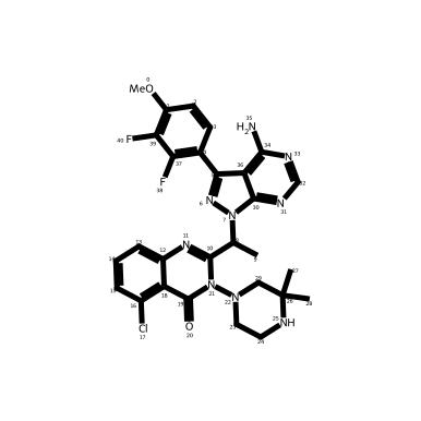 COc1ccc(-c2nn(C(C)c3nc4cccc(Cl)c4c(=O)n3N3CCNC(C)(C)C3)c3ncnc(N)c23)c(F)c1F